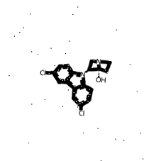 O[C@@]12CCN1C[C@@H]2n1c2ccc(Cl)cc2c2cc(Cl)ccc21